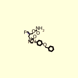 NC(=O)OC/C(=C/F)Cn1ncn(-c2ccc(OCc3ccccc3)cc2)c1=O